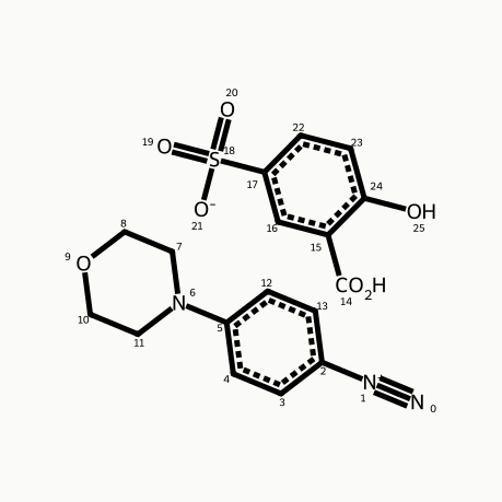 N#[N+]c1ccc(N2CCOCC2)cc1.O=C(O)c1cc(S(=O)(=O)[O-])ccc1O